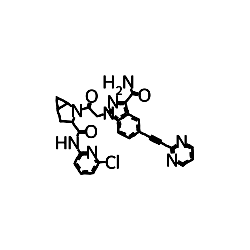 NC(=O)c1nn(CC(=O)N2C(C(=O)Nc3cccc(Cl)n3)CC3CC32)c2ccc(C#Cc3ncccn3)cc12